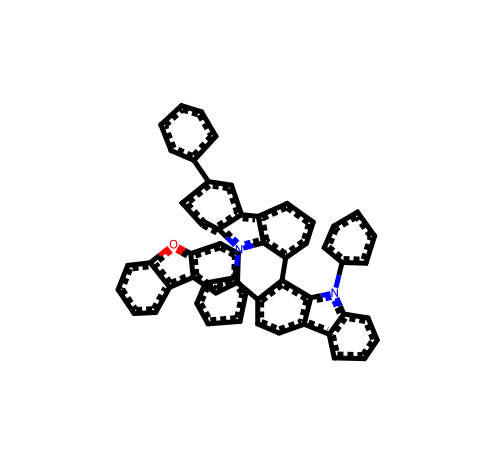 c1ccc(-c2ccc3c(c2)c2cccc(-c4c(-c5ccc6oc7ccccc7c6c5)ccc5c6ccccc6n(-c6ccccc6)c45)c2n3-c2ccccc2)cc1